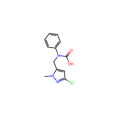 Cn1nc(Cl)cc1CN(C(=O)O)c1ccccc1